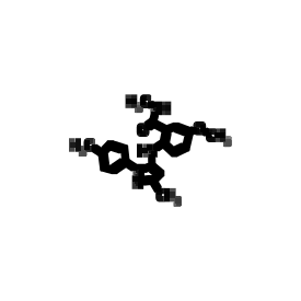 CNC(=O)c1cc(OC)ccc1Nc1cc(C)nn1-c1ccc(C)cc1